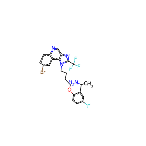 CC(N)c1cc(F)ccc1OCCCCn1c(C(F)(F)F)nc2cnc3ccc(Br)cc3c21